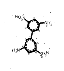 Nc1cc(-c2cc(N)cc(S(=O)(=O)O)c2)cc(S(=O)(=O)O)c1